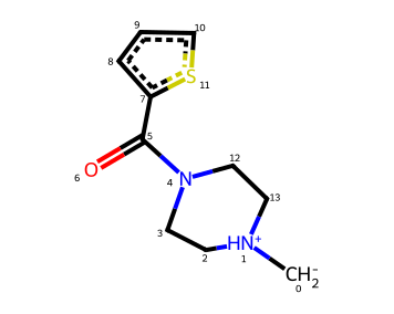 [CH2-][NH+]1CCN(C(=O)c2cccs2)CC1